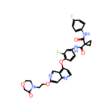 O=C1COCCN1CCOc1cc2nccc(Oc3ccc(NC(=O)C4(C(=O)Nc5ccc(F)cc5)CC4)cc3F)c2cn1